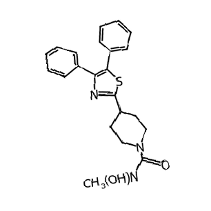 CN(O)C(=O)N1CCC(c2nc(-c3ccccc3)c(-c3ccccc3)s2)CC1